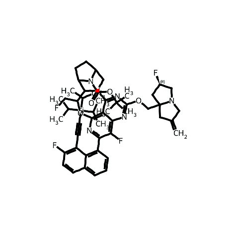 C=C1CN2C[C@H](F)CC2(COc2nc3c4c(nc(-c5cccc6ccc(F)c(C#C[Si](C(C)C)(C(C)C)C(C)C)c56)c(F)c4n2)OC(CF)C2C4CCC(CN32)N4C(=O)OC(C)(C)C)C1